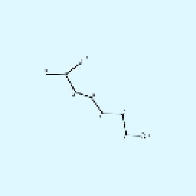 CC(I)CCCCC[O]